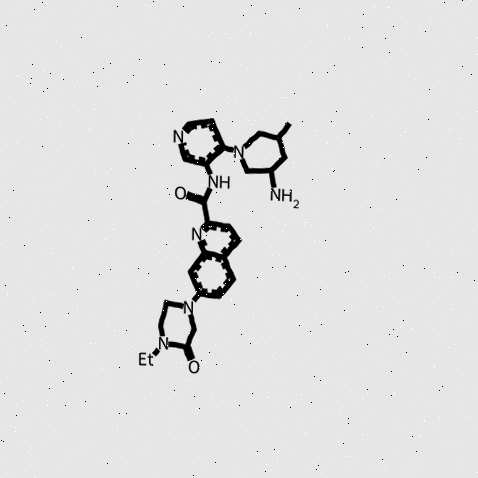 CCN1CCN(c2ccc3ccc(C(=O)Nc4cnccc4N4CC(C)CC(N)C4)nc3c2)CC1=O